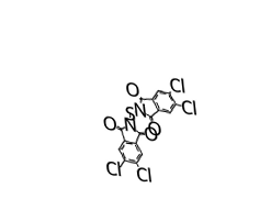 O=C1c2cc(Cl)c(Cl)cc2C(=O)N1SN1C(=O)c2cc(Cl)c(Cl)cc2C1=O